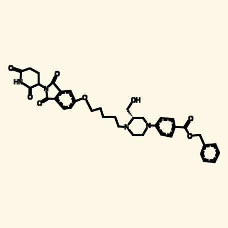 O=C1CCC(N2C(=O)c3ccc(OCCCCCN4CCN(c5ccc(C(=O)OCc6ccccc6)cc5)C[C@H]4CO)cc3C2=O)C(=O)N1